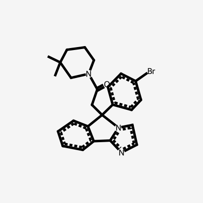 CC1(C)CCCN(C(=O)CC2(c3ccc(Br)cc3)c3ccccc3-c3nccn32)C1